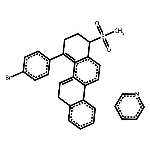 CS(=O)(=O)C1CCC(c2ccc(Br)cc2)=c2c1ccc1c2=CCc2ccccc2-1.c1ccncc1